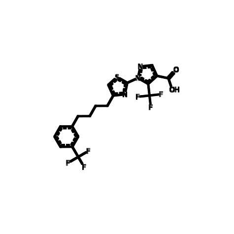 O=C(O)c1cnn(-c2nc(CCCCc3cccc(C(F)(F)F)c3)cs2)c1C(F)(F)F